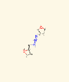 C1CCOC1.[N-]=[N+]=NCC1CCO1